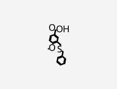 COc1ccc(C(=O)O)cc1CSCc1ccccc1